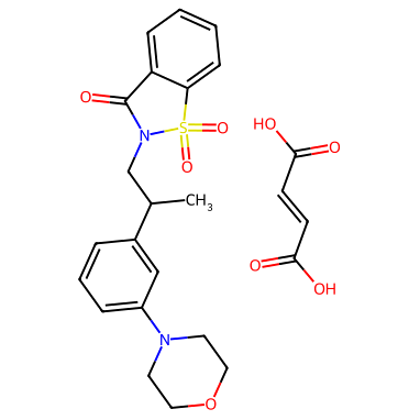 CC(CN1C(=O)c2ccccc2S1(=O)=O)c1cccc(N2CCOCC2)c1.O=C(O)C=CC(=O)O